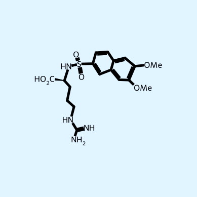 COc1cc2ccc(S(=O)(=O)N[C@@H](CCCNC(=N)N)C(=O)O)cc2cc1OC